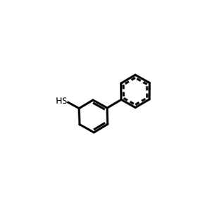 SC1C=C(c2ccccc2)C=CC1